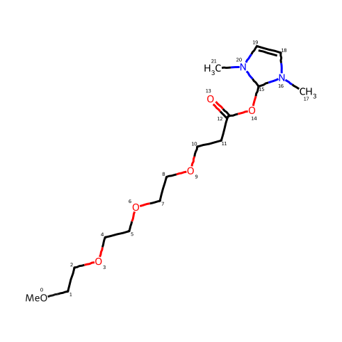 COCCOCCOCCOCCC(=O)OC1N(C)C=CN1C